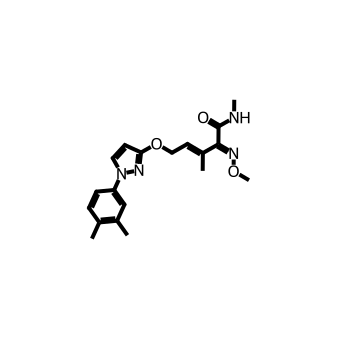 CNC(=O)C(=N/OC)/C(C)=C/COc1ccn(-c2ccc(C)c(C)c2)n1